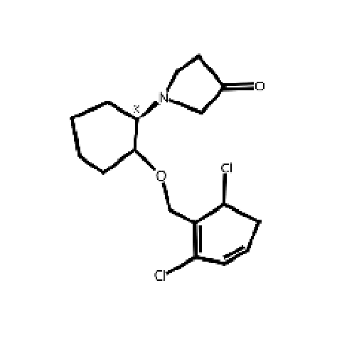 O=C1CCN([C@@H]2CCCCC2OCC2=C(Cl)C=CCC2Cl)C1